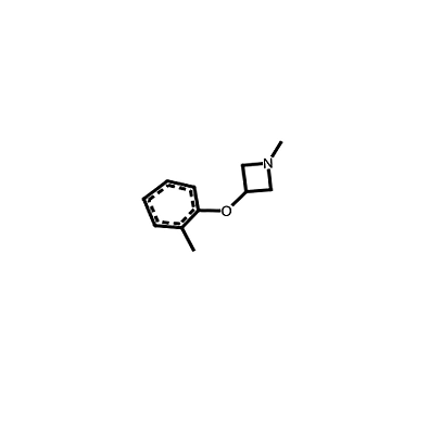 Cc1ccccc1OC1CN(C)C1